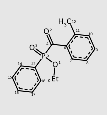 CCOP(=O)(C(=O)c1ccccc1C)c1ccccc1